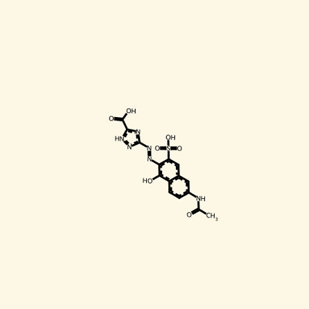 CC(=O)Nc1ccc2c(O)c(/N=N/c3n[nH]c(C(=O)O)n3)c(S(=O)(=O)O)cc2c1